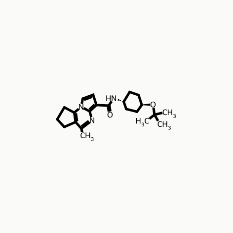 Cc1nc2c(C(=O)N[C@H]3CC[C@H](OC(C)(C)C)CC3)ccn2c2c1CCC2